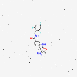 CC1(CN)C(=O)Nc2cc(C(=O)NCc3c(F)cc(F)cc3F)ccc21